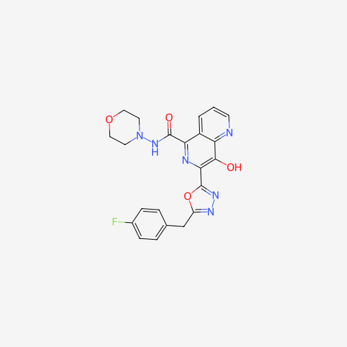 O=C(NN1CCOCC1)c1nc(-c2nnc(Cc3ccc(F)cc3)o2)c(O)c2ncccc12